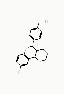 CCc1ccc2c(c1)[C@@H]1OCCC[C@@H]1[C@H](c1ccc(C(=O)O)cc1)N2